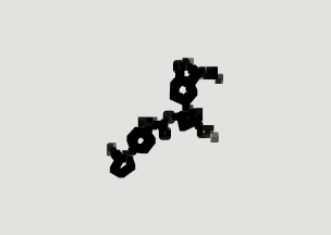 Nc1noc2ccc(-n3nc(C(F)(F)F)cc3OC(=O)Nc3ccc(N4CCCC4=S)cc3)cc12